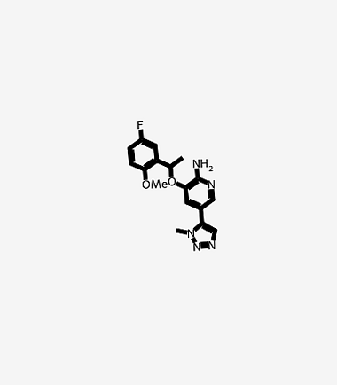 COc1ccc(F)cc1C(C)Oc1cc(-c2cnnn2C)cnc1N